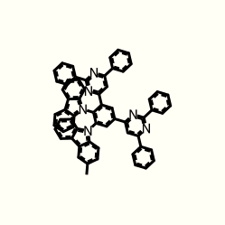 Cc1ccc2c(c1)c1ccccc1n2-c1cc(-c2cc(-c3ccccc3)nc(-c3ccccc3)n2)cc(-c2cc(-c3ccccc3)nc(-c3ccccc3)n2)c1-n1c2ccccc2c2ccccc21